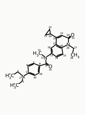 CCN(CC)c1ccc(C(=O)N(C)c2ccc3c(c2)c(C2CC2)cc(=O)n3CC)cc1